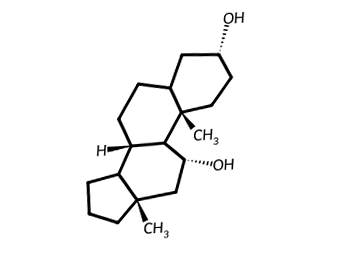 C[C@@]12CCCC1[C@@H]1CCC3C[C@H](O)CC[C@]3(C)C1[C@H](O)C2